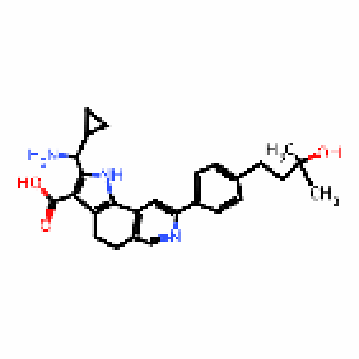 CC(C)(O)CCc1ccc(-c2cc3c(cn2)CCc2c-3[nH]c(C(N)C3CC3)c2C(=O)O)cc1